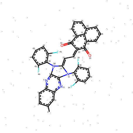 Cc1ccc2nc3c(nc2c1)N(c1c(F)cccc1F)/C(=C\C=c1c(=O)c2cccc4cccc(c1=O)c42)N3c1c(F)cccc1F